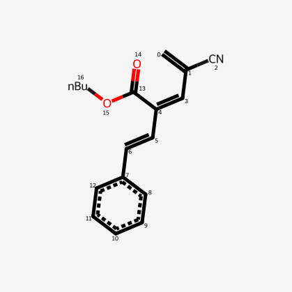 C=C(C#N)C=C(C=Cc1ccccc1)C(=O)OCCCC